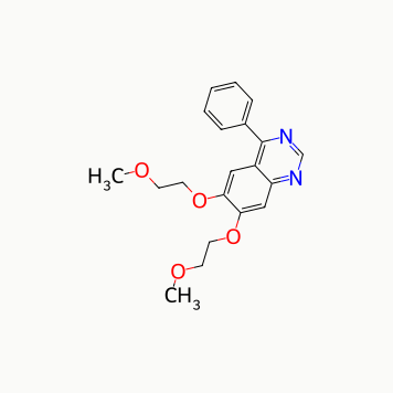 COCCOc1cc2ncnc(-c3ccccc3)c2cc1OCCOC